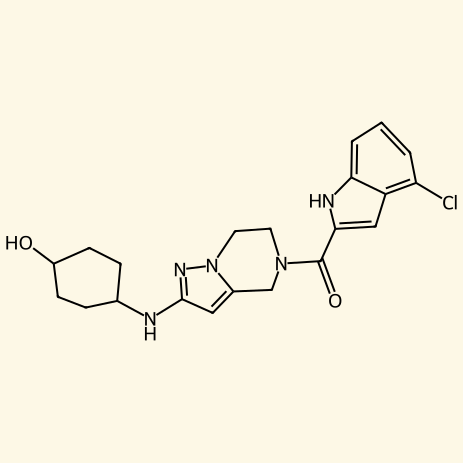 O=C(c1cc2c(Cl)cccc2[nH]1)N1CCn2nc(NC3CCC(O)CC3)cc2C1